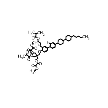 C=C(C)C(=O)OCCCc1cc(-c2ccc(C3CCC(C4CCC(CCCCC)CC4)CC3)cc2F)ccc1OCC(COC(=O)C(=C)C)(COC(=O)C(=O)OC)COC(=O)C(=O)OC